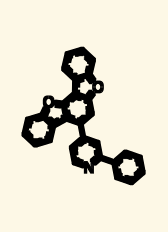 c1ccc(-c2cc(-c3cc4oc5ccccc5c4c4oc5ccccc5c34)ccn2)cc1